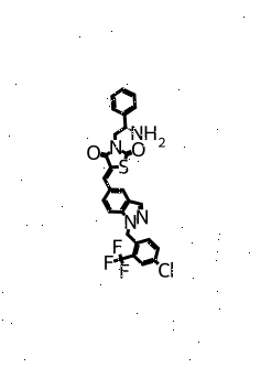 N[C@H](CN1C(=O)SC(=Cc2ccc3c(cnn3Cc3ccc(Cl)cc3C(F)(F)F)c2)C1=O)c1ccccc1